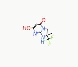 C[C@]1(C(F)(F)F)Cn2c(nc(O)cc2=O)N1